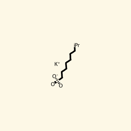 CC(C)CCCCCCCS(=O)(=O)[O-].[K+]